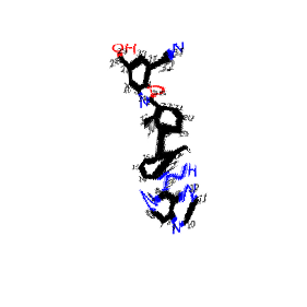 Cc1c(Nc2nccc3nccnc23)cccc1-c1cccc(-c2nc3cc(CO)cc(C#N)c3o2)c1C